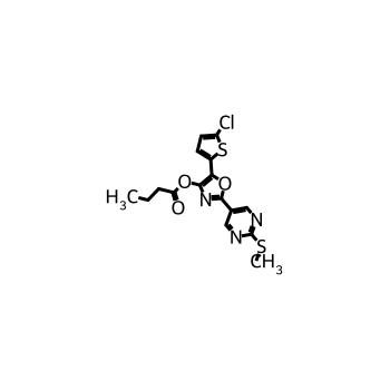 CCCC(=O)Oc1nc(-c2cnc(SC)nc2)oc1-c1ccc(Cl)s1